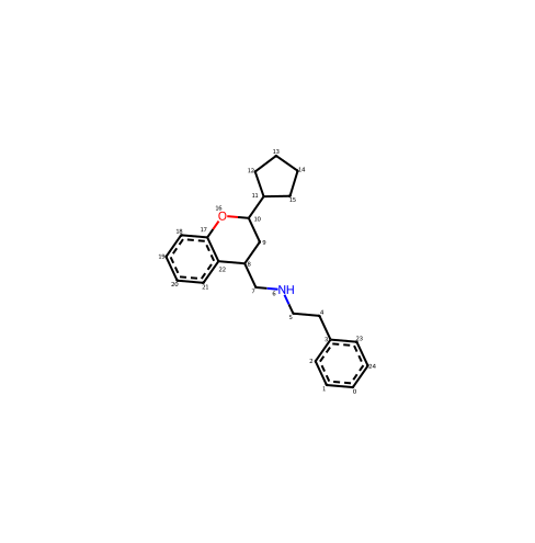 c1ccc(CCNCC2CC(C3CCCC3)Oc3ccccc32)cc1